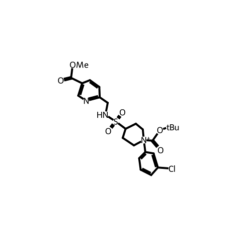 COC(=O)c1ccc(CNS(=O)(=O)C2CC[N+](C(=O)OC(C)(C)C)(c3cccc(Cl)c3)CC2)nc1